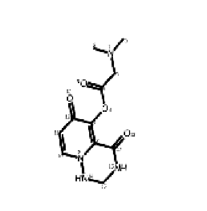 CN(C)CC(=O)Oc1c2n(ccc1=O)NCNC2=O